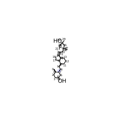 C=C1CC[C@H](O)C/C1=C/C=C1CCC[C@@]2(C)C1CC[C@@H]2[C@H](C)CC(F)(F)CC(C)(C)O